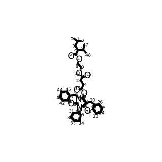 CC(C)CC(C(=O)OCCOC(=O)CCC(=O)Oc1c(Cc2ccccc2)c(=O)n(-c2ccccc2)c(=O)n1Cc1ccccc1)C(C)C